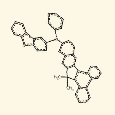 CC1(C)c2cc3cc(N(c4ccccc4)c4ccc5oc6ccccc6c5c4)ccc3cc2-c2c1c1ccccc1c1ccccc21